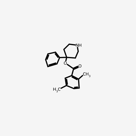 Cc1ccc(C)c(C(=O)OC2(c3ccccc3)CCNCC2)c1